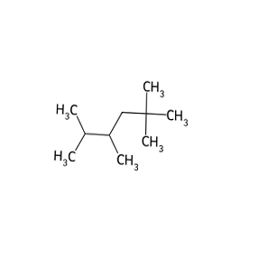 CC(C)C(C)CC(C)(C)C